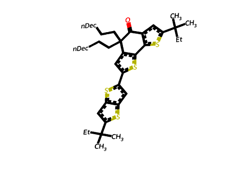 CCCCCCCCCCCCC1(CCCCCCCCCCCC)C(=O)c2cc(C(C)(C)CC)sc2-c2sc(-c3cc4sc(C(C)(C)CC)cc4s3)cc21